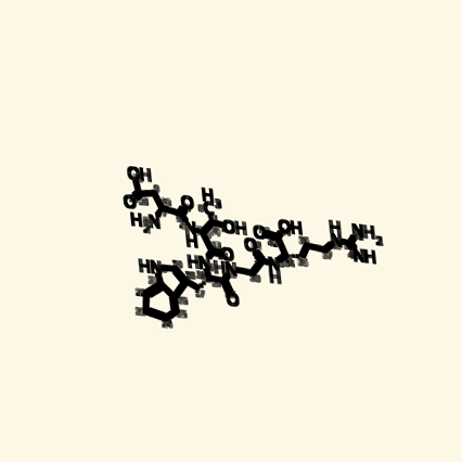 C[C@@H](O)[C@H](NC(=O)[C@@H](N)CC(=O)O)C(=O)N[C@@H](Cc1c[nH]c2ccccc12)C(=O)NCC(=O)N[C@@H](CCCNC(=N)N)C(=O)O